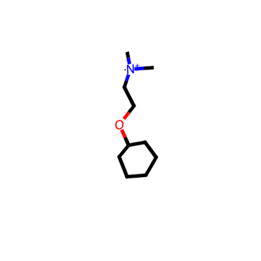 C[N+](C)CCOC1CCCCC1